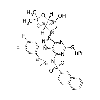 CCCSc1nc(N([C@@H]2C[C@H]2c2ccc(F)c(F)c2)S(=O)(=O)c2ccc3ccccc3c2)c2nnn([C@@H]3C[C@H](O)[C@H]4OC(C)(C)O[C@H]43)c2n1